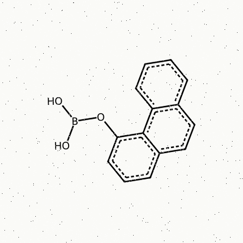 OB(O)Oc1cccc2ccc3ccccc3c12